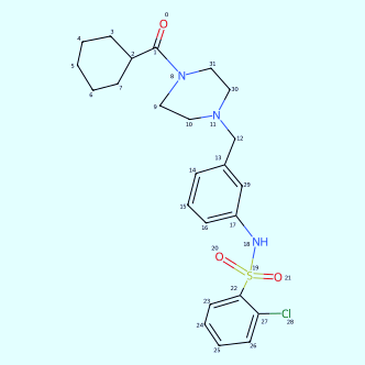 O=C(C1CCCCC1)N1CCN(Cc2cccc(NS(=O)(=O)c3ccccc3Cl)c2)CC1